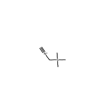 C#[N+]CS(C)(C)C